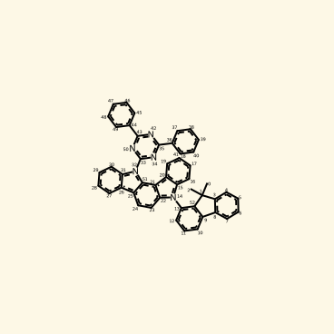 CC1(C)c2ccccc2-c2cccc(-n3c4ccccc4c4c3ccc3c5ccccc5n(-c5nc(-c6ccccc6)nc(-c6ccccc6)n5)c34)c21